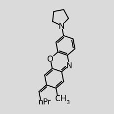 CCC/C=c1/cc2c(cc1C)=Nc1ccc(N3CCCC3)cc1O2